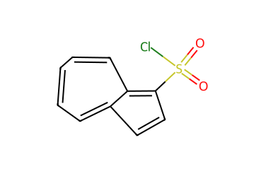 O=S(=O)(Cl)c1ccc2cccccc1-2